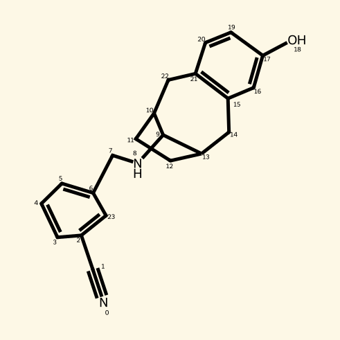 N#Cc1cccc(CNC2C3CCC2Cc2cc(O)ccc2C3)c1